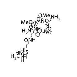 C=C1N[C@H]2CSC(CCCCC(=O)NCCCC[C@H](NC(=O)CN(CCOC)C(=O)CN(CCOC)C(=O)CN(CCCCN)C(=O)CN(Cc3cccc4ccccc34)C(C)=O)C(N)=O)[C@H]2N1